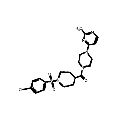 Cc1nccc(N2CCN(C(=O)C3CCN(S(=O)(=O)c4ccc(Cl)cc4)CC3)CC2)n1